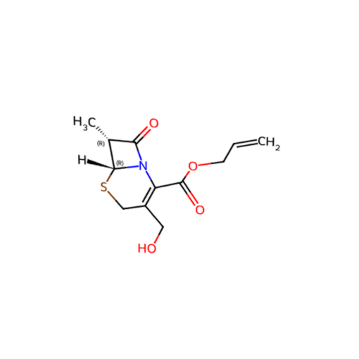 C=CCOC(=O)C1=C(CO)CS[C@@H]2[C@H](C)C(=O)N12